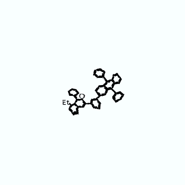 CCc1cccc2cc(-c3cccc(-c4ccc5c(-c6ccccc6)c6ccccc6c(-c6ccccc6)c5c4)c3)c3oc4ccccc4c3c12